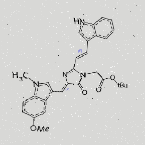 COc1ccc2c(c1)c(/C=C1N=C(/C=C/c3c[nH]c4ccccc34)N(CC(=O)OC(C)(C)C)C\1=O)cn2C